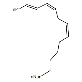 CCC/C=C/C=C\C/C=C\CCCCCCCCCCCCC